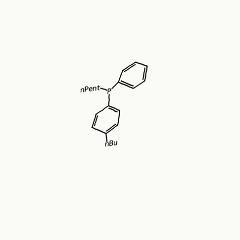 CCCCCP(c1ccccc1)c1ccc(CCCC)cc1